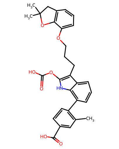 Cc1cc(C(=O)O)ccc1-c1cccc2c(CCCOc3cccc4c3OC(C)(C)C4)c(OC(=O)O)[nH]c12